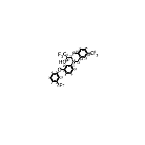 CC(C)c1cccc(Oc2cccc(N(Cc3cc(C(F)(F)F)ccc3F)C[C@@H](O)C(F)(F)F)c2)c1